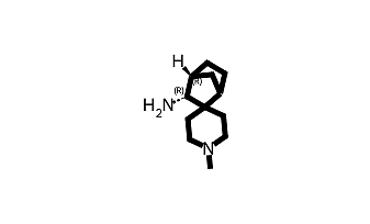 CN1CCC2(CC1)C1CC[C@H](C1)[C@H]2N